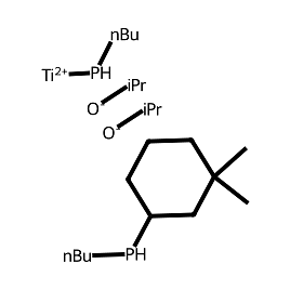 CC(C)[O-].CC(C)[O-].CCCCPC1CCCC(C)(C)C1.CCCC[PH][Ti+2]